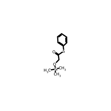 C[Si](C)(C)OCC(=O)Sc1ccccc1